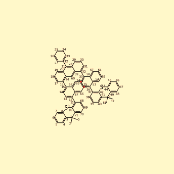 CC1(C)c2ccccc2Sc2c(-c3ccc(-c4cccc5c(-c6ccccc6)c6cccc(-c7ccc(-c8cccc9c8Sc8ccccc8C9(C)C)c8ccccc78)c6cc45)c4ccccc34)cccc21